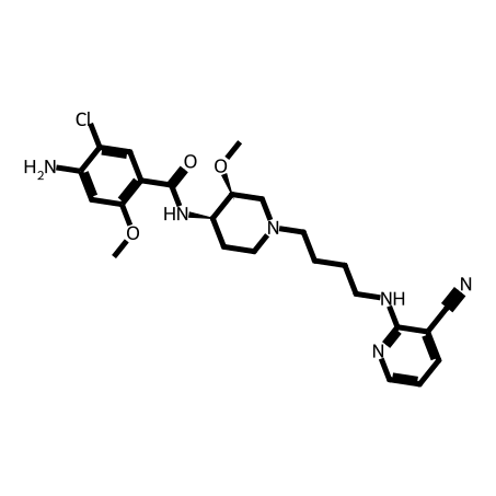 COc1cc(N)c(Cl)cc1C(=O)N[C@@H]1CCN(CCCCNc2ncccc2C#N)C[C@@H]1OC